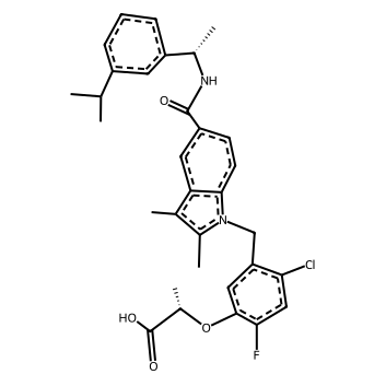 Cc1c(C)n(Cc2cc(O[C@@H](C)C(=O)O)c(F)cc2Cl)c2ccc(C(=O)N[C@@H](C)c3cccc(C(C)C)c3)cc12